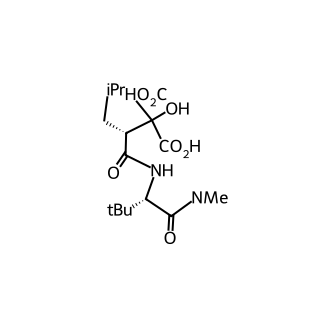 CNC(=O)[C@@H](NC(=O)[C@H](CC(C)C)C(O)(C(=O)O)C(=O)O)C(C)(C)C